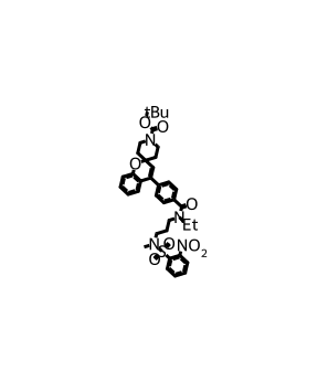 CCN(CCCN(C)S(=O)(=O)c1ccccc1[N+](=O)[O-])C(=O)c1ccc(C2=CC3(CCN(C(=O)OC(C)(C)C)CC3)Oc3ccccc32)cc1